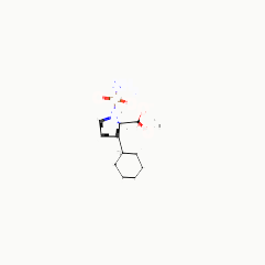 NS(=O)(=O)n1ccc(C2CCCCC2)c1C(=O)[O-].[Na+]